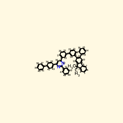 CC1(C)c2ccccc2-c2cc(-c3ccccc3)c(-c3cccc(-c4cccc(-c5cc(-c6ccc(-c7ccccc7)cc6)nc(-c6ccccc6)n5)c4)c3)cc21